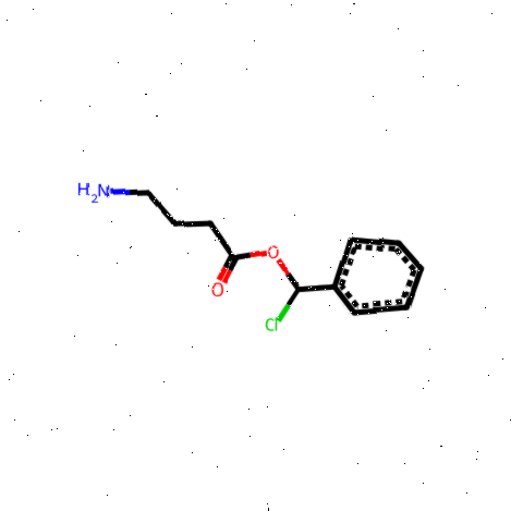 NCCCC(=O)OC(Cl)c1ccccc1